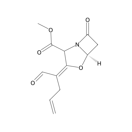 C=CC/C(C=O)=C1\O[C@@H]2CC(=O)N2C1C(=O)OC